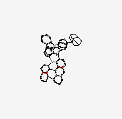 c1ccc(-c2cccc3cccc(-c4ccccc4N(c4ccc5c6ccccc6n(-c6ccc(C78CC9CC(CC(C9)C7)C8)cc6)c5c4)c4ccccc4-n4c5ccccc5c5ccccc54)c23)cc1